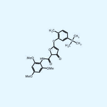 COc1cc(OC)c(NC(=O)C2OC(Oc3cc([Si](C)(C)C)ccc3C)=CC2=O)c(OC)c1